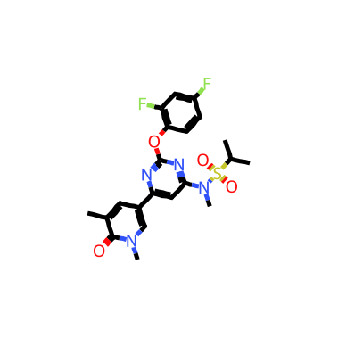 Cc1cc(-c2cc(N(C)S(=O)(=O)C(C)C)nc(Oc3ccc(F)cc3F)n2)cn(C)c1=O